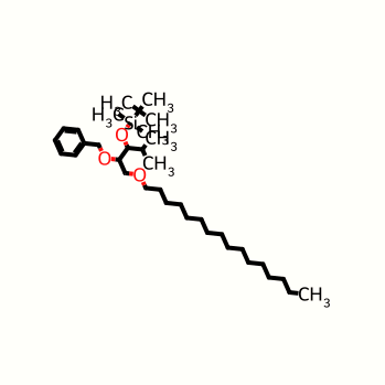 CCCCCCCCCCCCCCCCOCC(OCc1ccccc1)C(O[Si](C)(C)C(C)(C)C)C(C)C